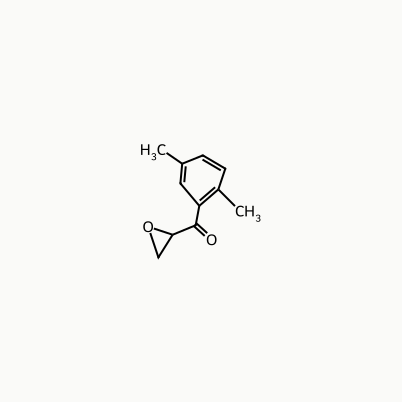 Cc1ccc(C)c(C(=O)C2CO2)c1